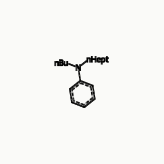 CCCCCCCN(CCCC)c1ccccc1